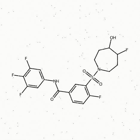 O=C(Nc1cc(F)c(F)c(F)c1)c1ccc(F)c(S(=O)(=O)N2CCC(O)C(F)CC2)c1